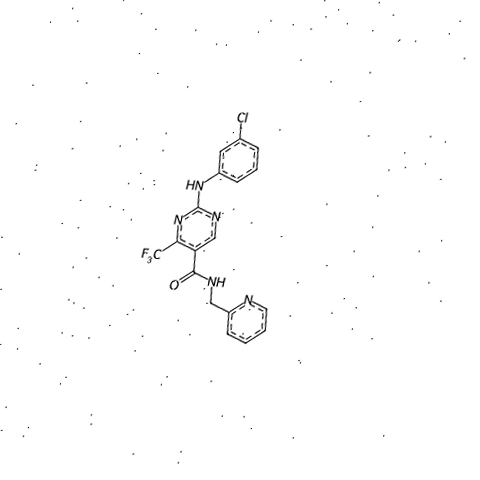 O=C(NCc1ccccn1)c1cnc(Nc2cccc(Cl)c2)nc1C(F)(F)F